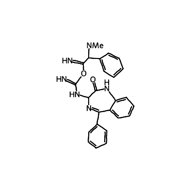 CNC(C(=N)OC(=N)NC1N=C(c2ccccc2)c2ccccc2NC1=O)c1ccccc1